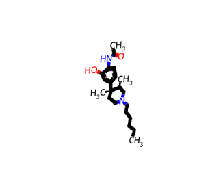 CCCCCCN1CC[C@](C)(c2ccc(NC(C)=O)c(O)c2)[C@@H](C)C1